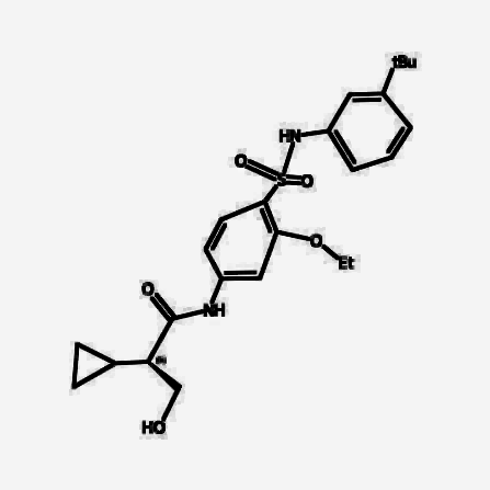 CCOc1cc(NC(=O)[C@@H](CO)C2CC2)ccc1S(=O)(=O)Nc1cccc(C(C)(C)C)c1